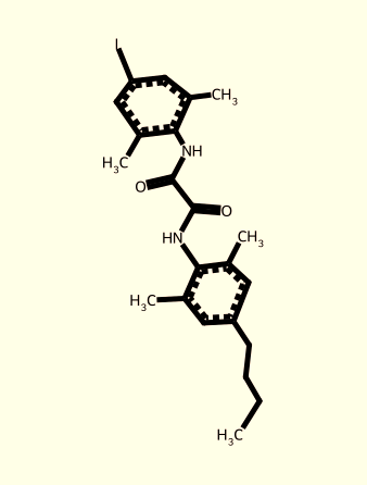 CCCCc1cc(C)c(NC(=O)C(=O)Nc2c(C)cc(I)cc2C)c(C)c1